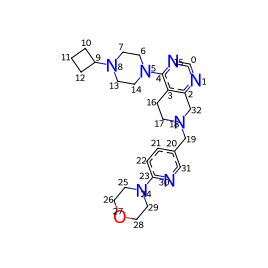 c1nc2c(c(N3CCN(C4CCC4)CC3)n1)CCN(Cc1ccc(N3CCOCC3)nc1)C2